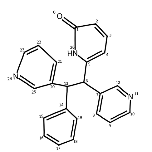 O=c1cccc(C(c2cccnc2)C(c2ccccc2)c2cccnc2)[nH]1